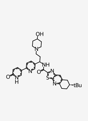 CC(C)(C)[C@H]1CCc2nc3sc(C(=O)NC(CCN4CCC(O)CC4)c4ccc(-c5ccc(=O)[nH]c5)nc4)nc3cc2C1